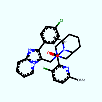 COc1ccc(Cl)c(C(=O)N2C3CCC[C@H]2CN(Cc2c(-c4ccc(Cl)cc4)nc4ccccn24)C3)n1